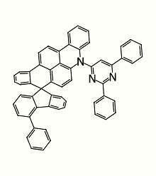 c1ccc(-c2cc(N3c4ccccc4-c4ccc5c6c(ccc3c46)C3(c4ccccc4-c4c(-c6ccccc6)cccc43)c3ccccc3-5)nc(-c3ccccc3)n2)cc1